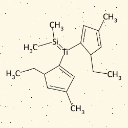 CCC1C=C(C)C=[C]1[Ti]([C]1=CC(C)=CC1CC)=[Si](C)C